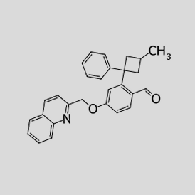 CC1CC(c2ccccc2)(c2cc(OCc3ccc4ccccc4n3)ccc2C=O)C1